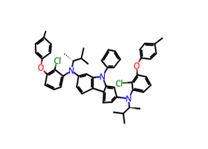 Cc1ccc(Oc2cccc(N(c3ccc4c5ccc(N(c6cccc(Oc7ccc(C)cc7)c6Cl)[C@@H](C)C(C)C)cc5n(-c5ccccc5)c4c3)[C@H](C)C(C)C)c2Cl)cc1